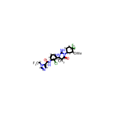 CO[C@H]1CC(N2C(=N)N[C@](C)(c3cccc(NC(=O)c4cncn4CC(F)(F)F)c3Cl)CC2=O)CCC1(F)F